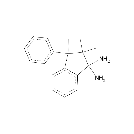 CC1(c2ccccc2)c2ccccc2C(N)(N)C1(C)C